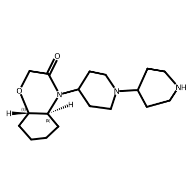 O=C1CO[C@H]2CCCC[C@@H]2N1C1CCN(C2CCNCC2)CC1